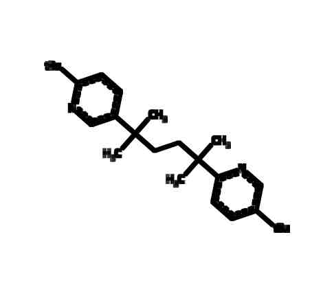 CC(C)(C)c1ccc(C(C)(C)CCC(C)(C)c2ccc(C(C)(C)C)nc2)nc1